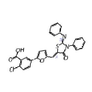 O=C(O)c1cc(-c2ccc(/C=C3\S/C(=N\c4ccccc4)N(c4ccccc4)C3=O)o2)ccc1Cl